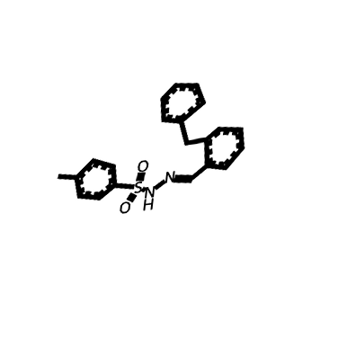 Cc1ccc(S(=O)(=O)NN=Cc2ccccc2Cc2ccccc2)cc1